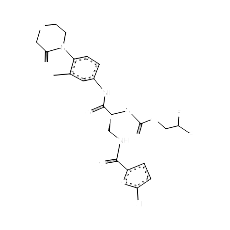 O=C(N[C@@H](CNC(=O)c1ccc(Cl)s1)C(=O)Nc1ccc(N2CCOCC2=O)c(F)c1)OCC(F)F